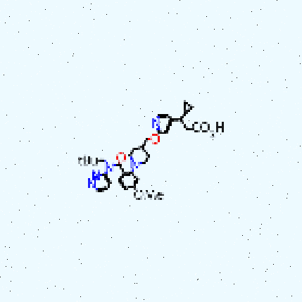 COc1ccc(C(=O)N(CC(C)(C)C)c2cccnn2)c(N2CCC(COc3cc(C(CC(=O)O)C4CC4)ccn3)CC2)c1